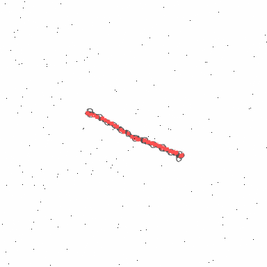 C=C(C)C(=O)OCCCCOCCCCOCCCCOCCCCOCCCCOCCCCOCCCCOCCCCOCCCCOCCCCOCCCCOC(=O)C(=C)C